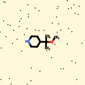 COC(C)(C)C1CCNCC1